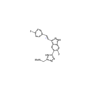 CNCc1nnc(-c2cc3c(/C=C/c4ccc(F)cc4)n[nH]c3cc2F)[nH]1